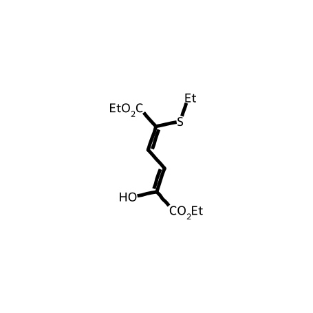 CCOC(=O)C(O)=CC=C(SCC)C(=O)OCC